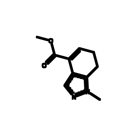 COC(=O)C1=CCCc2c1cnn2C